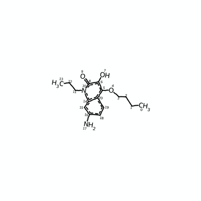 CCCCOc1c(O)c(=O)n(CCC)c2cc(N)ccc12